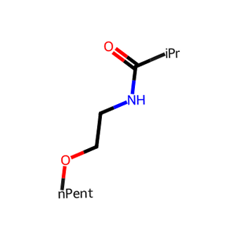 CCCCCOCCNC(=O)C(C)C